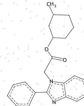 CC1CCCC(OC(=O)Cn2c(-c3ccccc3)nc3ccccc32)C1